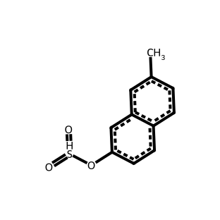 Cc1ccc2ccc(O[SH](=O)=O)cc2c1